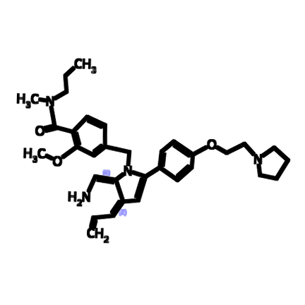 C=C/C=c1/cc(-c2ccc(OCCN3CCCC3)cc2)n(Cc2ccc(C(=O)N(C)CCC)c(OC)c2)/c1=C/N